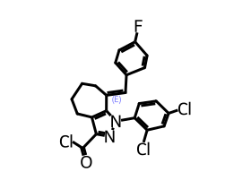 O=C(Cl)c1nn(-c2ccc(Cl)cc2Cl)c2c1CCCC/C2=C\c1ccc(F)cc1